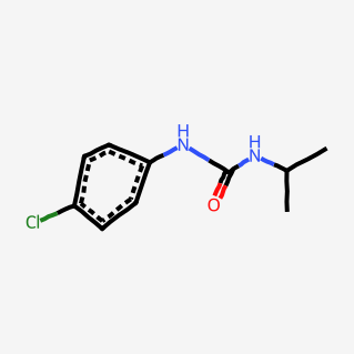 CC(C)NC(=O)Nc1ccc(Cl)cc1